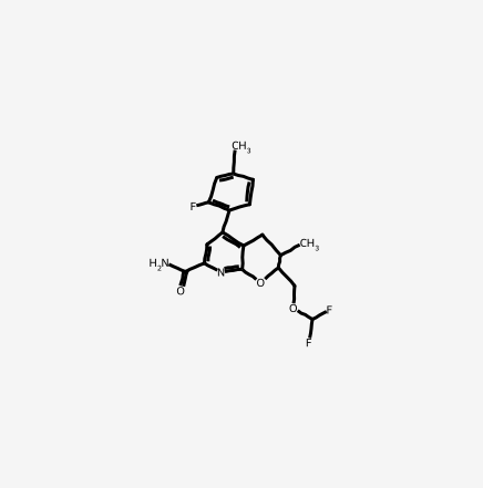 Cc1ccc(-c2cc(C(N)=O)nc3c2CC(C)C(COC(F)F)O3)c(F)c1